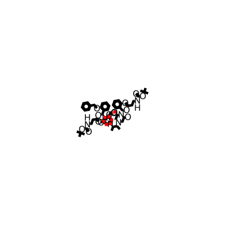 CC(C(C)N1CC(=O)N(C(OC(=O)CCNC(=O)OC(C)(C)C)c2ccccc2OCc2ccccc2)C(=O)C1)N1CC(=O)N(C(OC(=O)CCNC(=O)OC(C)(C)C)c2ccccc2OCc2ccccc2)C(=O)C1